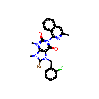 Cc1cc2ccccc2c(-n2c(=O)c3c(n(C)c2=O)N(C)C(Br)N3Cc2ccccc2Cl)n1